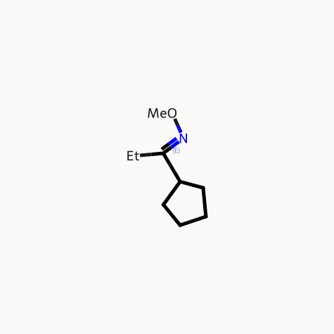 CC/C(=N\OC)C1CCCC1